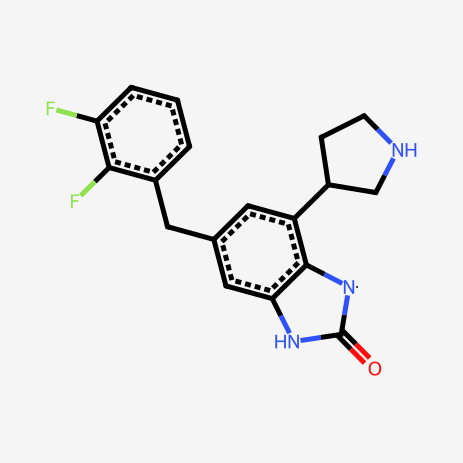 O=C1[N]c2c(cc(Cc3cccc(F)c3F)cc2C2CCNC2)N1